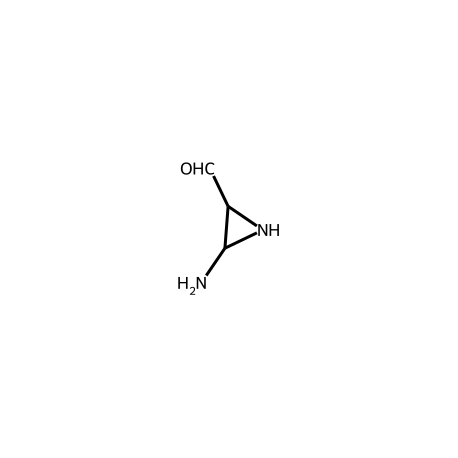 NC1NC1C=O